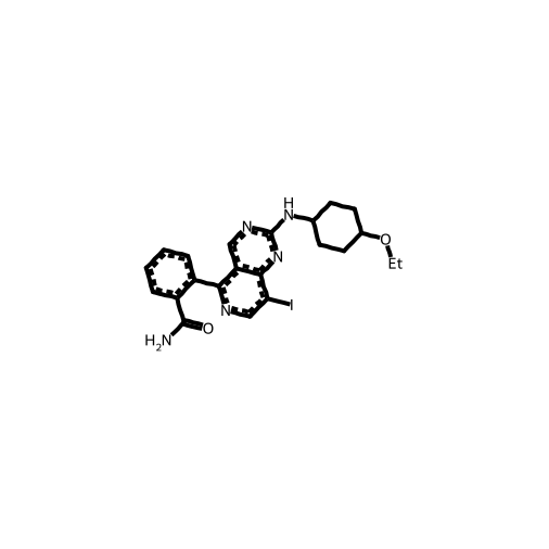 CCOC1CCC(Nc2ncc3c(-c4ccccc4C(N)=O)ncc(I)c3n2)CC1